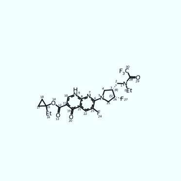 CCN(C[C@H]1CN(c2nc3[nH]cc(C(=O)OC4(CC)CC4)c(=O)c3cc2F)C[C@H]1F)C(=O)C(F)(F)F